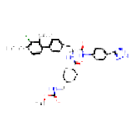 COc1c(-c2ccc(C[C@H](NC(=O)[C@H]3CC[C@H](CNC(=O)OC(C)(C)C)CC3)C(=O)Nc3ccc(-c4nn[nH]n4)cc3)cc2)ccc(C(=O)O)c1F